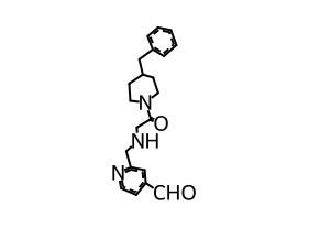 O=Cc1ccnc(CNCC(=O)N2CCC(Cc3ccccc3)CC2)c1